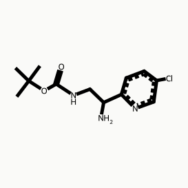 CC(C)(C)OC(=O)NCC(N)c1ccc(Cl)cn1